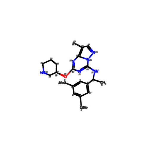 COc1cc(OC)cc(C(C)Nc2nc(O[C@@H]3CCCNC3)nc3c(C(C)C)cnn23)c1